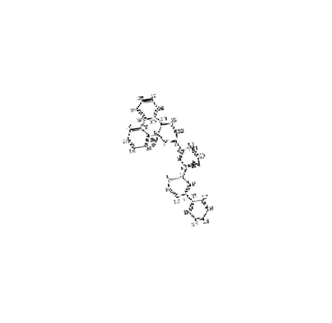 CC12C=C(c3cc(-c4cccc(-c5ccccc5)c4)ncn3)C=CC1c1ccccc1-c1ccccc12